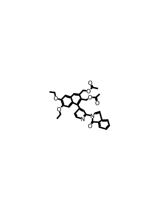 CCOc1cc2cc(COC(C)=O)c(COC(C)=O)c(-c3ccnc(-n4ccc5ccccc5c4=O)c3)c2cc1OCC